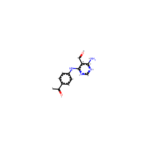 CC(=O)c1ccc(Nc2ncnc(N)c2C=O)cc1